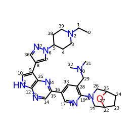 CCN1CCC(n2cc(-c3c[nH]c4ncc(-c5cnc(N6CC7CCC(C6)O7)c(CN(C)C)c5)nc34)cn2)CC1